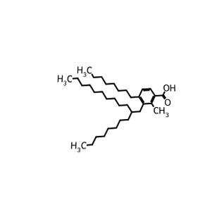 CCCCCCCCCCC(CCCCCCCC)Cc1c(CCCCCCCC)ccc(C(=O)O)c1C